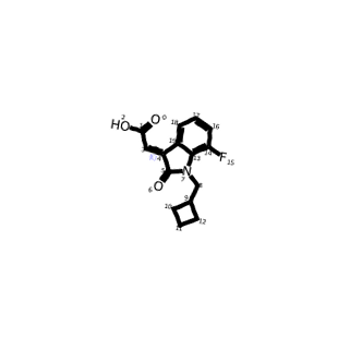 O=C(O)/C=C1/C(=O)N(CC2CCC2)c2c(F)cccc21